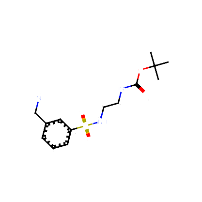 CC(C)(C)OC(=O)NCCNS(=O)(=O)c1cccc(CN)c1